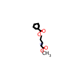 COC(=O)/C=C/CCOC(=O)c1ccccc1